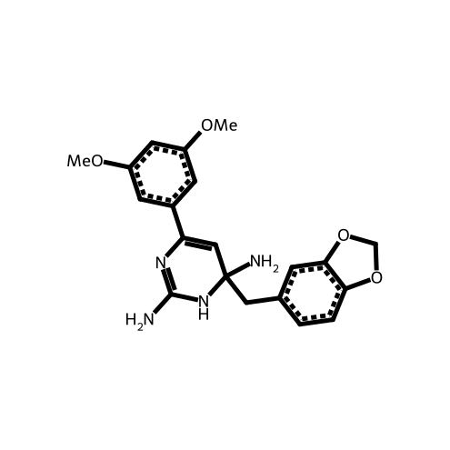 COc1cc(OC)cc(C2=CC(N)(Cc3ccc4c(c3)OCO4)NC(N)=N2)c1